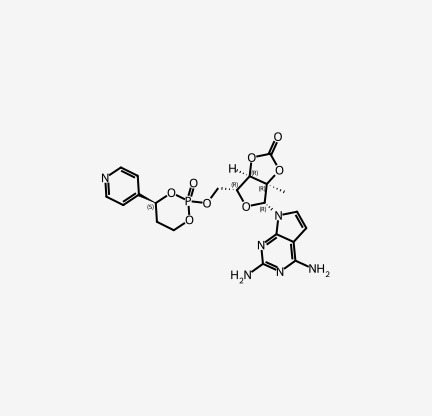 C[C@@]12OC(=O)O[C@@H]1[C@@H](COP1(=O)OCC[C@@H](c3ccncc3)O1)O[C@H]2n1ccc2c(N)nc(N)nc21